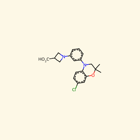 CC1(C)CN(c2cccc(N3CC(C(=O)O)C3)c2)c2ccc(Cl)cc2O1